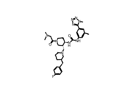 Cc1cc(NC(=O)N[C@@H]2CCN(C(=O)CN(C)C)C[C@H]2CN2CCCC(Cc3ccc(F)cc3)C2)cc(-c2nnnn2C)c1